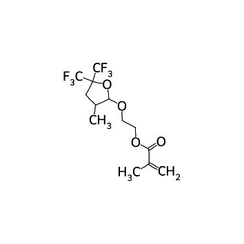 C=C(C)C(=O)OCCOC1OC(C(F)(F)F)(C(F)(F)F)CC1C